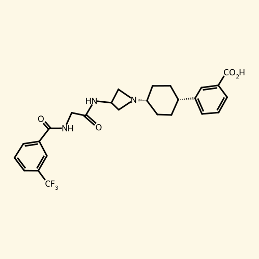 O=C(CNC(=O)c1cccc(C(F)(F)F)c1)NC1CN([C@H]2CC[C@@H](c3cccc(C(=O)O)c3)CC2)C1